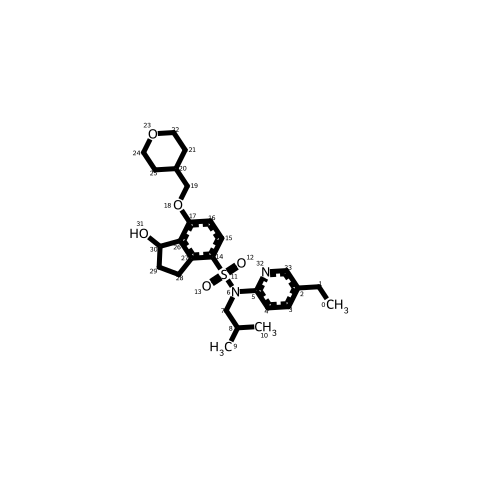 CCc1ccc(N(CC(C)C)S(=O)(=O)c2ccc(OCC3CCOCC3)c3c2CCC3O)nc1